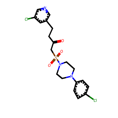 O=C(CCc1cncc(Cl)c1)CS(=O)(=O)N1CCN(c2ccc(Cl)cc2)CC1